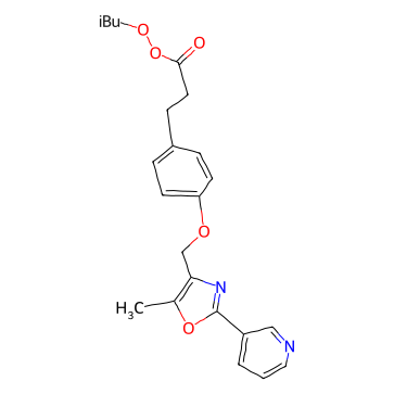 CCC(C)OOC(=O)CCc1ccc(OCc2nc(-c3cccnc3)oc2C)cc1